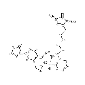 [2H]C([2H])(c1ccccc1OCCCCCC1=CC(=O)NC1=O)N(C(=O)c1ccc(-c2ccco2)cc1)C1CC1